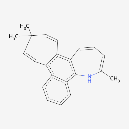 CC1=CC=Cc2c3c(c4ccccc4c2N1)C=CC(C)(C)C=C3